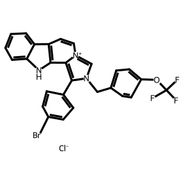 FC(F)(F)Oc1ccc(Cn2c[n+]3ccc4c5ccccc5[nH]c4c3c2-c2ccc(Br)cc2)cc1.[Cl-]